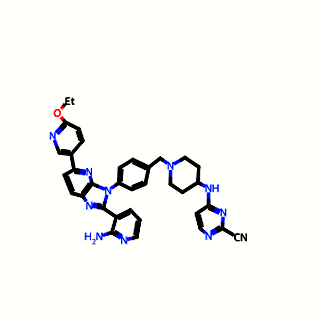 CCOc1ccc(-c2ccc3nc(-c4cccnc4N)n(-c4ccc(CN5CCC(Nc6ccnc(C#N)n6)CC5)cc4)c3n2)cn1